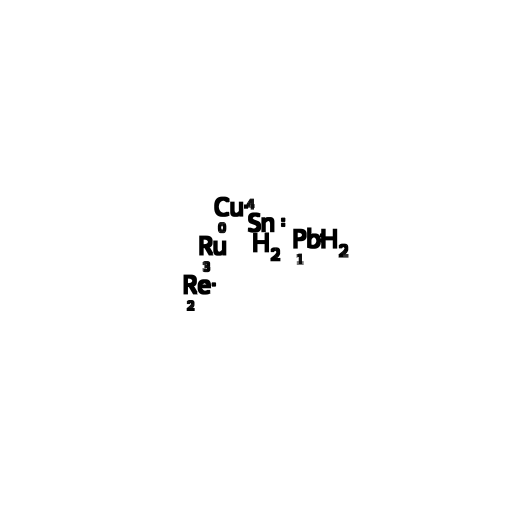 [Cu].[PbH2].[Re].[Ru].[SnH2]